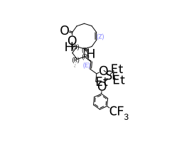 CC[Si](CC)(CC)OC(/C=C/[C@@H]1[C@H]2C/C=C\CCCC(=O)O[C@H]2C[C@H]1C)COc1cccc(C(F)(F)F)c1